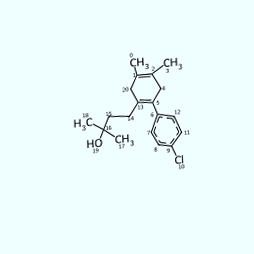 CC1=C(C)CC(c2ccc(Cl)cc2)=C(CCC(C)(C)O)C1